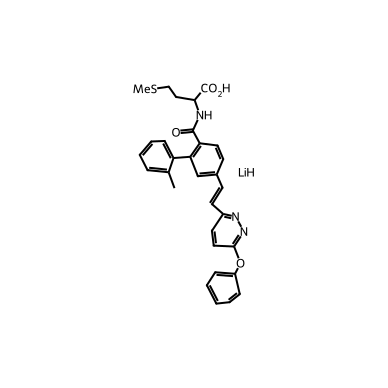 CSCCC(NC(=O)c1ccc(C=Cc2ccc(Oc3ccccc3)nn2)cc1-c1ccccc1C)C(=O)O.[LiH]